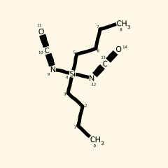 CCCC[Si](CCCC)(N=C=O)N=C=O